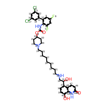 O=C(Nc1c(F)cc(F)cc1-c1cc(Cl)cc(Cl)c1)OC1CCN(CCCCCCCCCNCC(O)c2ccc(O)c3[nH]c(=O)ccc23)CC1